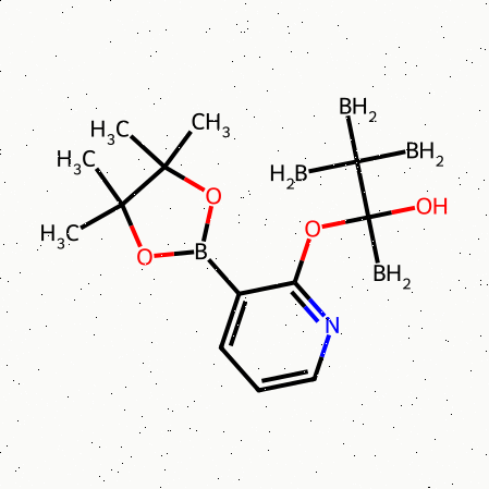 BC(B)(B)C(B)(O)Oc1ncccc1B1OC(C)(C)C(C)(C)O1